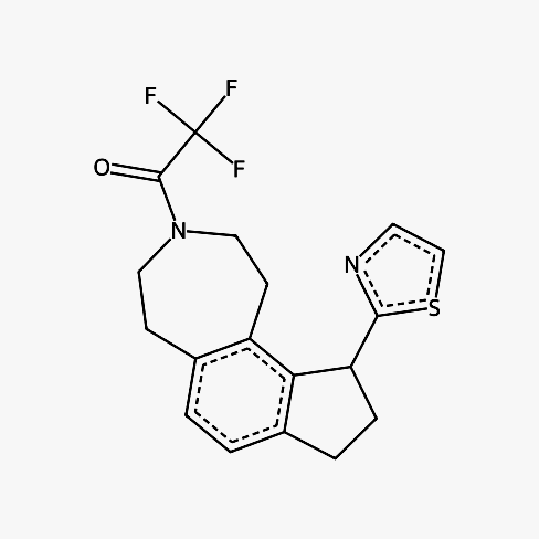 O=C(N1CCc2ccc3c(c2CC1)C(c1nccs1)CC3)C(F)(F)F